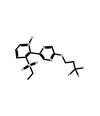 CCS(=O)(=O)c1ccc[n+]([O-])c1-c1cnc(OCCC(F)(F)F)cn1